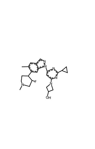 Cc1cc2cnn(-c3cc(N4CC(O)C4)nc(C4CC4)n3)c2cc1C1CCN(C)CC1F